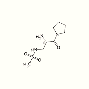 CS(=O)(=O)NC[C@H](N)C(=O)N1CCCC1